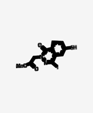 COC(=O)Cn1nc(I)c2cc(S)ccc2c1=O